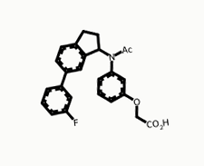 CC(=O)N(c1cccc(OCC(=O)O)c1)C1CCc2ccc(-c3cccc(F)c3)cc21